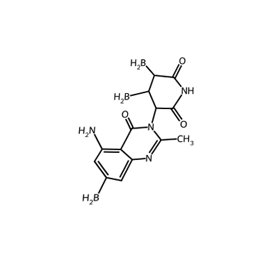 Bc1cc(N)c2c(=O)n(C3C(=O)NC(=O)C(B)C3B)c(C)nc2c1